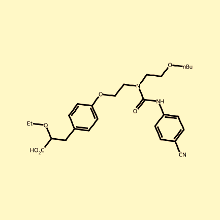 CCCCOCCN(CCOc1ccc(CC(OCC)C(=O)O)cc1)C(=O)Nc1ccc(C#N)cc1